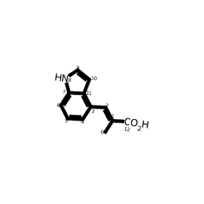 CC(=Cc1cccc2[nH]ccc12)C(=O)O